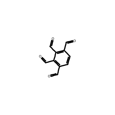 O=[C]c1ccc([C]=O)c([C]=O)c1[C]=O